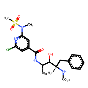 CN(c1cc(C(=O)NC(C(O)[C@@](C)(Cc2ccccc2)NC(=O)O)C(C)(C)C)cc(Cl)n1)S(C)(=O)=O